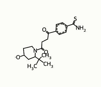 CC(C)(C)C1CC([O])CCN1C(=O)CCC(=O)c1ccc(C(N)=S)cc1